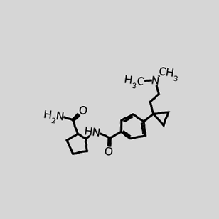 CN(C)CCC1(c2ccc(C(=O)NC3CCCC3C(N)=O)cc2)CC1